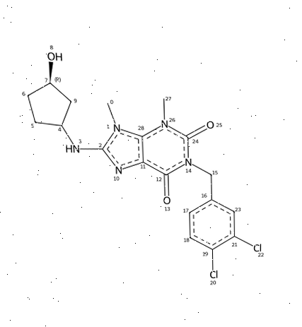 Cn1c(NC2CC[C@@H](O)C2)nc2c(=O)n(Cc3ccc(Cl)c(Cl)c3)c(=O)n(C)c21